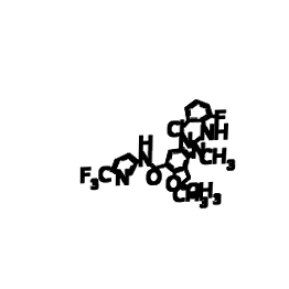 Cn1c(Nc2c(F)cccc2Cl)nc2cc(C(=O)Nc3ccc(C(F)(F)F)nc3)c3c(c21)CC(C)(C)O3